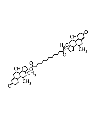 C[C@@H]1CC2=CC(=O)CCC2C2C1C1CC[C@H](OC(=O)CCCCCCCCCCC(=O)O[C@H]3CCC4C5C(C6CCC(=O)C=C6C[C@H]5C)[C@@H](C)C[C@@]43C)[C@@]1(C)C[C@@H]2C